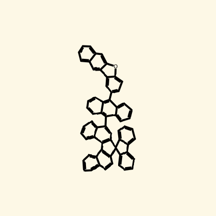 c1ccc2c(c1)-c1ccccc1C21c2ccc3ccccc3c2-c2c1cc(-c1c3ccccc3c(-c3ccc4oc5cc6ccccc6cc5c4c3)c3ccccc13)c1ccccc21